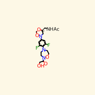 CC(=O)NC[C@H]1CN(c2cc(F)c(N3CCON(C(=O)CO)CC3)c(F)c2)OCO1